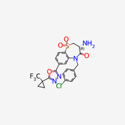 N[C@H]1CS(=O)(=O)c2ccc(-c3nnc(C4(C(F)(F)F)CC4)o3)cc2N(Cc2ccc(Cl)cc2)C1=O